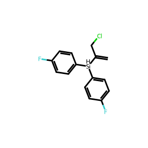 C=C(CCl)[SiH](c1ccc(F)cc1)c1ccc(F)cc1